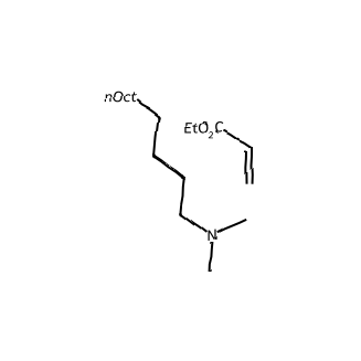 C=CC(=O)OCC.CCCCCCCCCCCCN(C)C